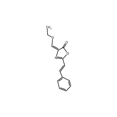 CCOC=C1N=C(/C=C/c2ccccc2)OC1=O